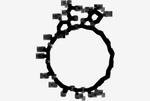 CC(C)NC(=O)[C@H]1[C@@H]2CC(O[C@@H]3OC[C@@H](O)[C@H](N)[C@@H]3O)/C=C/C=C/C=C/C=C/C=C/C=C/C=C/[C@H](C)[C@@H](O)C[C@H](C)OC(=O)CC(O)CC(O)CCC(O)C(O)CC(O)CC(O)(C[C@@H]1O)O2